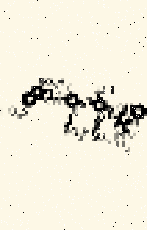 Cc1c(N=Nc2cc(CO)c(N=Nc3cc(Cl)c(N=Nc4nc5c(S(=O)(=O)O)cc6ccc(S(=O)(=O)O)cc6c5s4)cc3SCCCS(=O)(=O)O)cc2OCCCS(=O)(=O)O)c(O)n2c(nc3ccccc32)c1C(N)=O